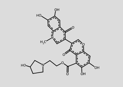 Cn1cc(-c2coc3cc(O)c(O)c(C(=O)OCCN4CCC(O)C4)c3c2=O)c(=O)c2cc(O)c(O)cc21